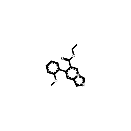 CCOC(=O)c1cn2cncc2cc1-c1ccccc1OC